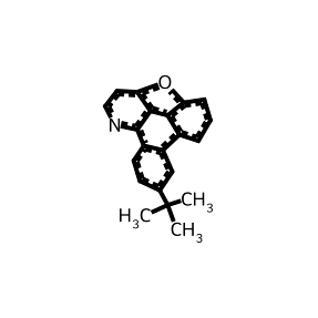 CC(C)(C)c1ccc2c(c1)c1cccc3oc4ccnc2c4c31